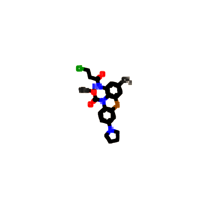 CC(C)(C)OC(=O)N1c2ccc(N3CCCC3)cc2Sc2cc(C(F)(F)F)cc(NC(=O)CCCl)c21